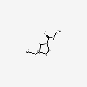 CC(=O)S[C@@H]1CCN(C(=O)OC(C)(C)C)C1